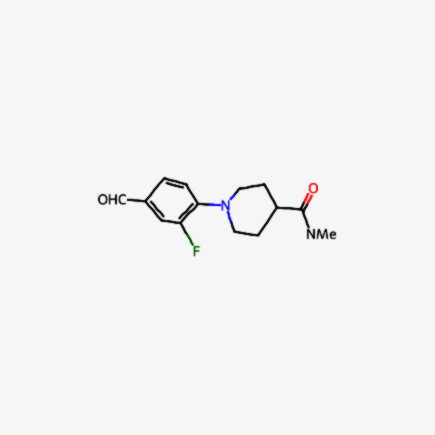 CNC(=O)C1CCN(c2ccc(C=O)cc2F)CC1